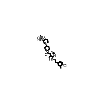 Cc1cc(CCNc2ncnc(C(=O)N3CCC(N4CCC[C@@H](NS(C)(=O)=O)C4)CC3)c2C)ccc1Cl